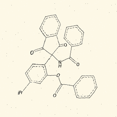 CC(C)c1ccc(C2(NC(=O)c3ccccc3)C(=O)c3ccccc3C2=O)c(OC(=O)c2ccccc2)c1